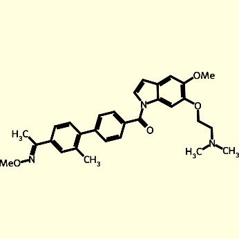 CO/N=C(\C)c1ccc(-c2ccc(C(=O)n3ccc4cc(OC)c(OCCN(C)C)cc43)cc2)c(C)c1